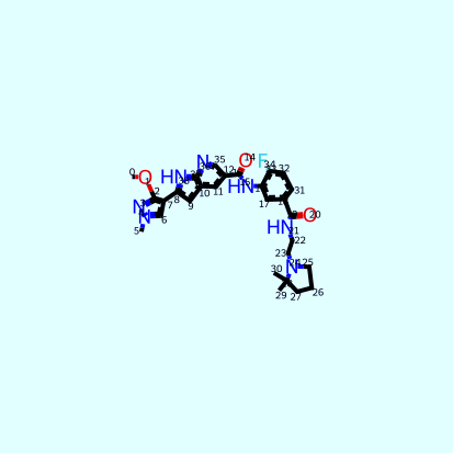 COc1nn(C)cc1-c1cc2cc(C(=O)Nc3cc(C(=O)NCCN4CCCC4(C)C)ccc3F)cnc2[nH]1